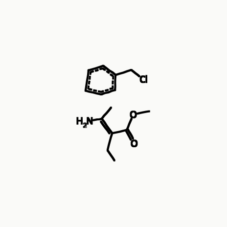 CCC(C(=O)OC)=C(C)N.ClCc1ccccc1